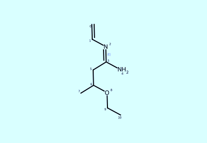 C=C/N=C(/N)CC(C)OCC